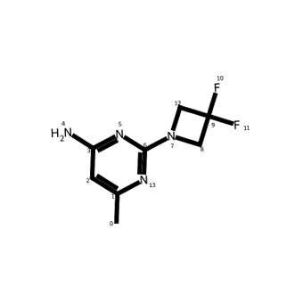 Cc1cc(N)nc(N2CC(F)(F)C2)n1